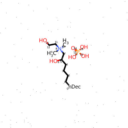 CCCCCCCCCCCCCCC(O)C[N+](C)(C)CCO.O=P(O)(O)O